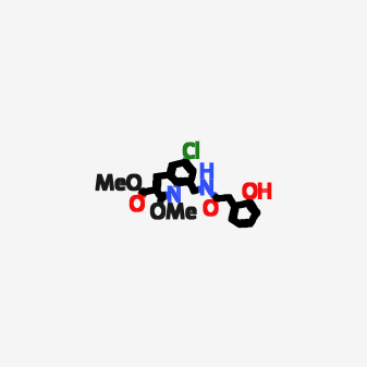 COC(=O)c1cc2cc(Cl)cc(CNC(=O)Cc3ccccc3O)c2nc1OC